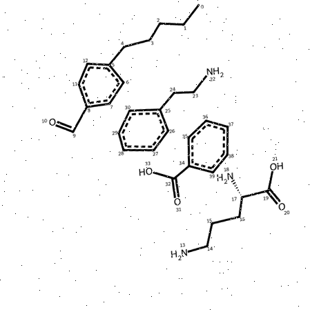 CCCCCc1ccc(C=O)cc1.NCCC[C@H](N)C(=O)O.NCCc1ccccc1.O=C(O)c1ccccc1